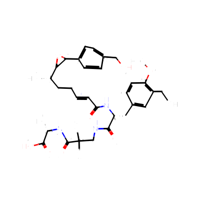 CCc1cc(C[C@@H](NC(=O)/C=C/CC[C@H](C)C2OC2c2ccc(CO)cc2)C(=O)NCC(C)(C)C(=O)N[C@@H](C)C(=O)O)ccc1OC